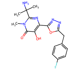 Cn1c(C(C)(C)N)nc(-c2nnc(Cc3ccc(F)cc3)o2)c(O)c1=O